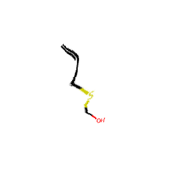 C=CCSCO